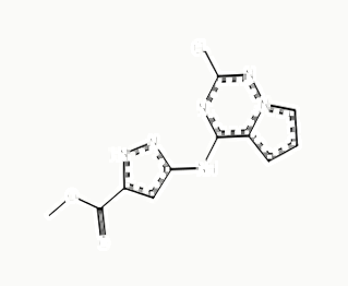 COC(=O)c1cc(Nc2nc(Cl)nn3cccc23)n[nH]1